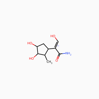 CC1C(/C(=C\O)C(N)=O)CC(O)C1O